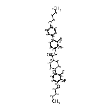 CCCCOc1ccc(-c2ccc(OC(=O)C3CCC(c4ccc(OCCCC)c(F)c4F)CC3)c(F)c2F)cc1